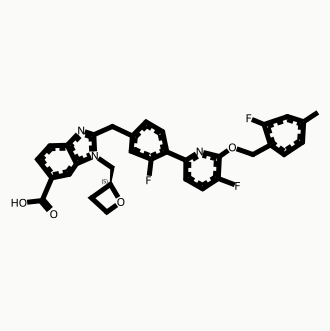 Cc1ccc(COc2nc(-c3ccc(Cc4nc5ccc(C(=O)O)cc5n4C[C@@H]4CCO4)cc3F)ccc2F)c(F)c1